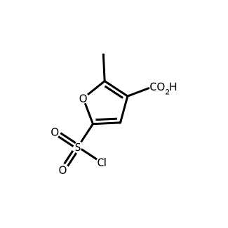 Cc1oc(S(=O)(=O)Cl)cc1C(=O)O